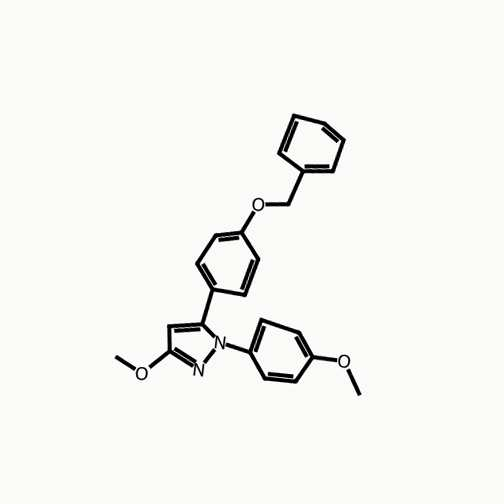 COc1ccc(-n2nc(OC)cc2-c2ccc(OCc3ccccc3)cc2)cc1